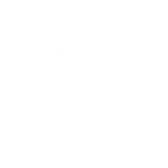 [CH2]COOC(=O)c1cccc(-c2ccccc2)c1